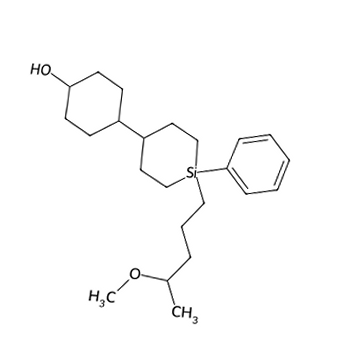 COC(C)CCC[Si]1(c2ccccc2)CCC(C2CCC(O)CC2)CC1